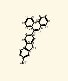 Brc1ccc2c(c1)sc1cc(-c3cc4ccccc4c4ccccc34)ccc12